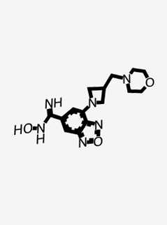 N=C(NO)c1cc(N2CC(CN3CCOCC3)C2)c2nonc2c1